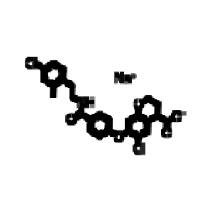 Cc1cc(Cl)ccc1CCNC(=O)c1ccc(Oc2cc3c(cc2Cl)C(C(=O)[O-])CCO3)cc1.[Na+]